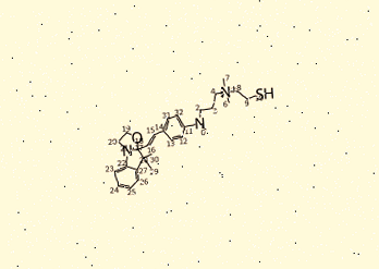 CN(CCC[N+](C)(C)CCS)c1ccc(/C=C/C23OCCN2c2ccccc2C3(C)C)cc1